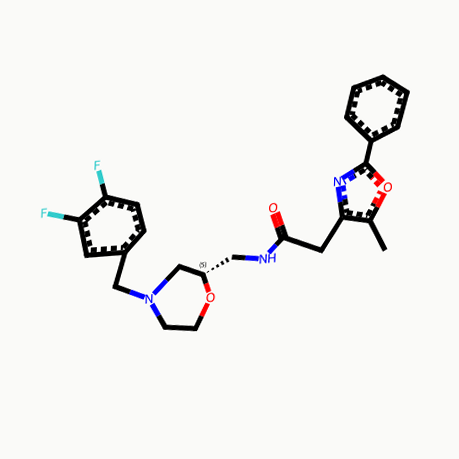 Cc1oc(-c2ccccc2)nc1CC(=O)NC[C@H]1CN(Cc2ccc(F)c(F)c2)CCO1